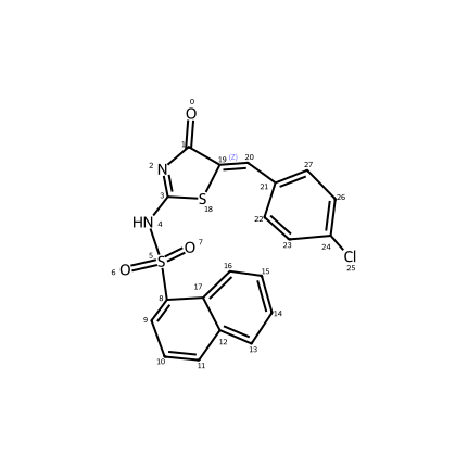 O=C1N=C(NS(=O)(=O)c2cccc3ccccc23)S/C1=C\c1ccc(Cl)cc1